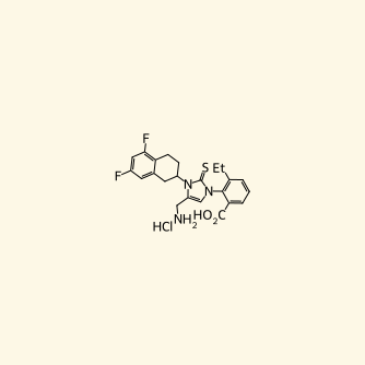 CCc1cccc(C(=O)O)c1-n1cc(CN)n(C2CCc3c(F)cc(F)cc3C2)c1=S.Cl